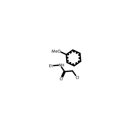 CCNC(=O)CCl.COc1ccccc1